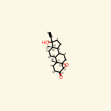 C#CC1(O)CCC2C3CCC45OC4C(=O)CC[C@]5(C)C3CC[C@@]21C